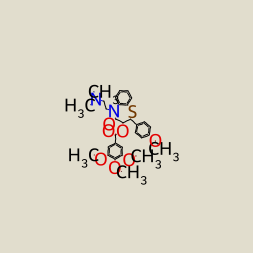 COc1ccc(C2Sc3ccccc3N(CCN(C)C)C(=O)C2OC(=O)c2cc(OC)c(OC)c(OC)c2)cc1